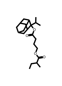 CCC(C)C(=O)OCCCC(=O)OC1(C(C)C)C2CC3CC(C2)CC1C3